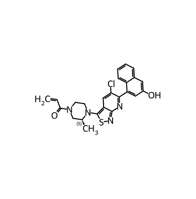 C=CC(=O)N1CCN(c2snc3nc(-c4cc(O)cc5ccccc45)c(Cl)cc23)[C@@H](C)C1